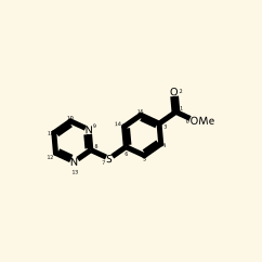 COC(=O)c1ccc(Sc2ncccn2)cc1